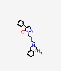 CCN(CCCCn1nccc(-c2ccccc2)c1=O)Cc1ccccc1